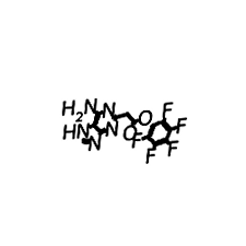 Nc1nc(CC(=O)Oc2c(F)c(F)c(F)c(F)c2F)nc2nc[nH]c12